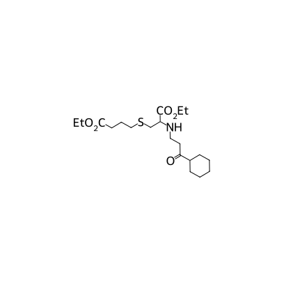 CCOC(=O)CCCSCC(NCCC(=O)C1CCCCC1)C(=O)OCC